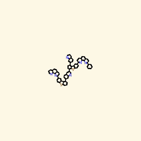 c1ccc(-c2ccc3ccc4ccc(-c5ccc6sc7c(-c8cnc9cc(-c%10cccc%11sc%12ccc(-c%13ccc%14ccc%15cccnc%15c%14n%13)cc%12c%10%11)ccc9c8)ccc(-c8ccc9cccnc9c8)c7c6c5)nc4c3n2)cc1